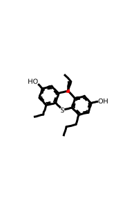 CCCc1cc(O)cc(CCC)c1Sc1c(CC)cc(O)cc1CC